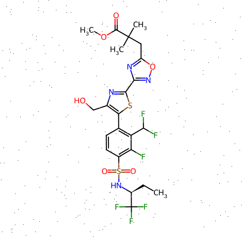 CC[C@H](NS(=O)(=O)c1ccc(-c2sc(-c3noc(CC(C)(C)C(=O)OC)n3)nc2CO)c(C(F)F)c1F)C(F)(F)F